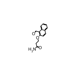 NC(=O)CCOc1ccc2ccccc2c1C=O